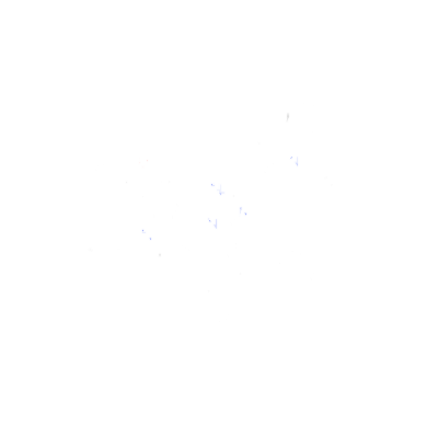 c1ccc(-c2cc(-c3ccccc3)cc(-c3nc(-c4ccc5c6ccccc6n(-c6ccccc6)c5c4)nc(-c4cc5oc6cccc7c8ccccc8n8c9ccccc9c4c8c5c67)n3)c2)cc1